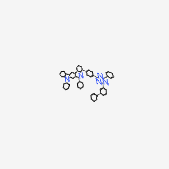 c1ccc(-c2cccc(-c3nc(-c4ccccc4)nc(-c4ccc(-c5cccc6c5nc(-c5ccccc5)c5cc7c(cc56)c5ccccc5n7-c5ccccc5)cc4)n3)c2)cc1